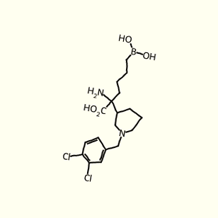 NC(CCCCB(O)O)(C(=O)O)C1CCCN(Cc2ccc(Cl)c(Cl)c2)C1